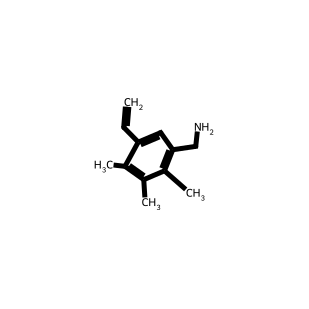 C=Cc1cc(CN)c(C)c(C)c1C